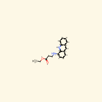 CCOC(=O)CCNc1cccc2cc3ccccc3nc12